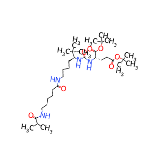 CC(C)C(=O)NCCCCCC(=O)NCCCC[C@H](NC(=O)N[C@@H](CCC(=O)OC(C)(C)C)C(=O)OC(C)(C)C)C(C)(C)C